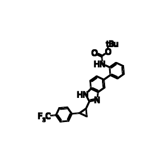 CC(C)(C)OC(=O)Nc1ccccc1-c1ccc2[nH]c(C3CC3c3ccc(C(F)(F)F)cc3)nc2c1